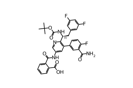 CC(C)(C)OC(=O)N[C@@H](Cc1cc(F)cc(F)c1)c1ncc(NC(=O)c2ccccc2C(=O)O)cc1-c1ccc(F)c(C(N)=O)c1